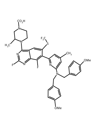 COc1ccc(CN(Cc2ccc(OC)cc2)c2cc(C)cc(-c3c(SC(F)(F)F)cc4c(N5CCN(C(=O)O)CC5C)nc(F)nc4c3F)n2)cc1